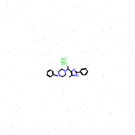 Cc1[nH]c(-c2ccccc2)nc1C(C)N1CCN(Cc2ccccc2)CC1.Cl.Cl.Cl